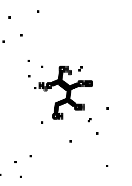 CC(C)=C(C=O)C(O)CO